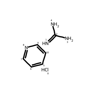 Cl.N=C(N)N.c1ccncc1